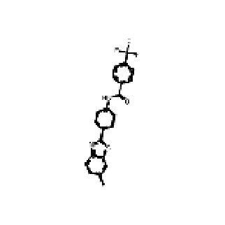 Cc1ccc2nc(-c3ccc(NC(=O)c4ccc(C(F)(F)F)cc4)cc3)sc2c1